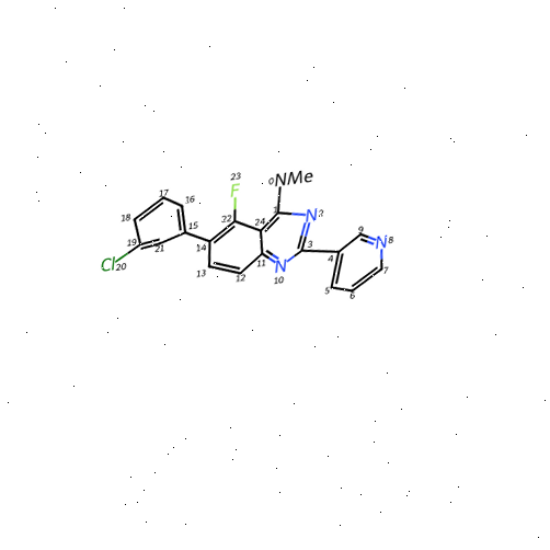 CNc1nc(-c2cccnc2)nc2ccc(-c3cccc(Cl)c3)c(F)c12